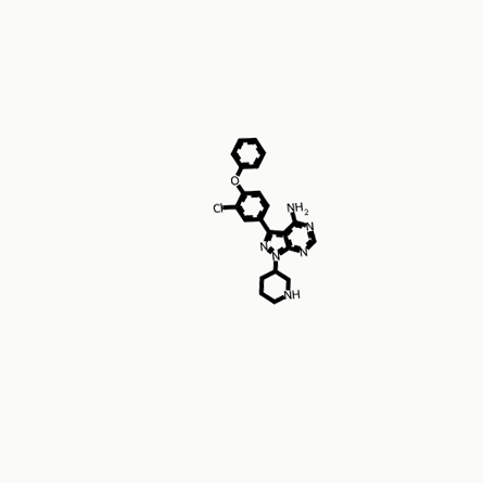 Nc1ncnc2c1c(-c1ccc(Oc3ccccc3)c(Cl)c1)nn2C1CCCNC1